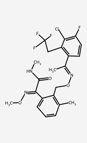 CNC(=O)/C(=N/OC)c1cccc(C)c1CO/N=C(\C)c1ccc(F)c(Cl)c1CC(F)(F)F